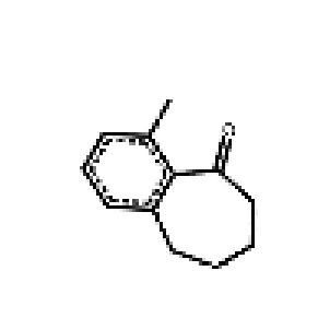 Cc1cccc2c1C(=O)CCCC2